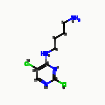 NCCCCNc1nc(Cl)ncc1Cl